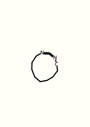 C1=NCCCCCCCCCN=1